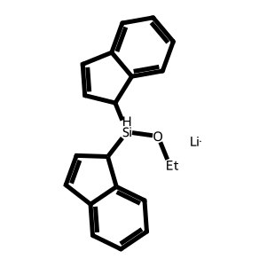 CCO[SiH](C1C=Cc2ccccc21)C1C=Cc2ccccc21.[Li]